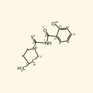 CC1CCN(C(=S)NC(=O)c2ccccc2Cl)CC1